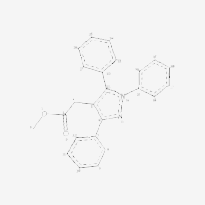 COC(=O)Cc1c(-c2ccccc2)nn(-c2ccccc2)c1-c1ccccc1